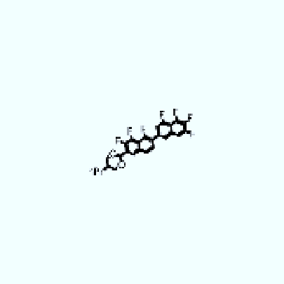 CCCC1COC(c2cc3ccc(-c4cc(F)c5c(F)c(F)c(F)cc5c4)c(F)c3c(F)c2F)OC1